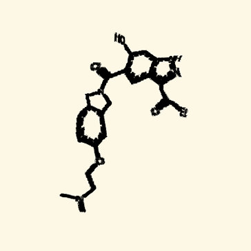 CCC(=O)c1n[nH]c2cc(O)c(C(=O)N3Cc4ccc(OCCN(C)C)cc4C3)cc12